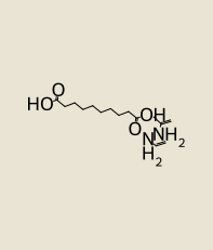 C=C(C)N.C=CN.O=C(O)CCCCCCCCC(=O)O